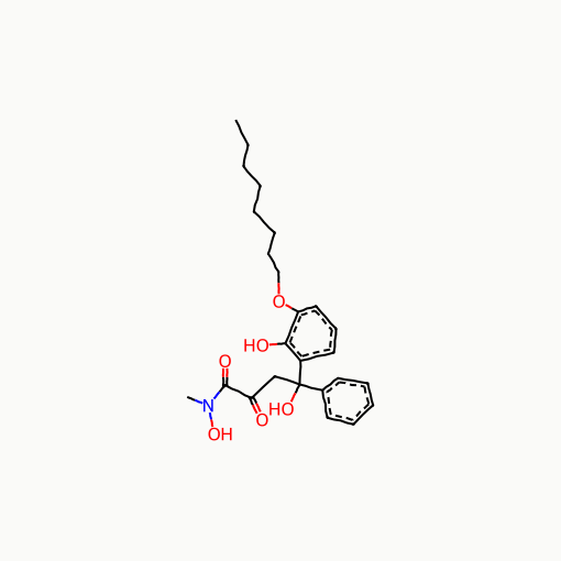 CCCCCCCCOc1cccc(C(O)(CC(=O)C(=O)N(C)O)c2ccccc2)c1O